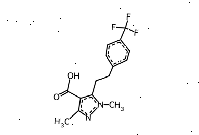 Cc1nn(C)c(CCc2ccc(C(F)(F)F)cc2)c1C(=O)O